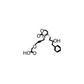 O=C(O)COCC#CCN1C(=O)OCC[C@@H]1CCC(O)Cc1ccccc1